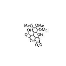 COc1cc(C(C2=C(O)COC2O)c2cc3c(cc2O)OCO3)cc(OC)c1OC